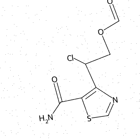 NC(=O)c1scnc1C(Cl)COC=O